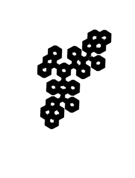 c1ccc(N(c2c3ccccc3c(-c3cc(-c4c5ccccc5cc5ccccc45)cc(-c4c5ccccc5c(N(c5ccccc5)c5ccc6ccc7cccc8ccc5c6c78)c5ccccc45)c3)c3ccccc23)c2ccc3ccc4cccc5ccc2c3c45)cc1